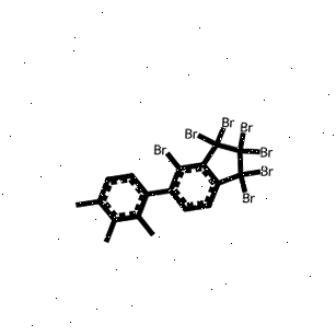 Cc1ccc(-c2ccc3c(c2Br)C(Br)(Br)C(Br)(Br)C3(Br)Br)c(C)c1C